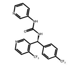 O=C(Nc1cccnc1)N[C@@H](c1ccc(C(F)(F)F)cc1)c1cnccc1C(F)(F)F